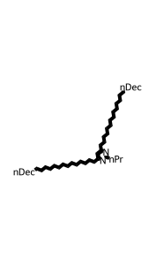 [CH2]CCc1nc(CCCCCCCCCCCCCCCCCCCCCCCC)cc(CCCCCCCCCCCCCCCCCCCCCCCC)n1